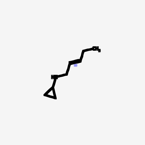 CC/C=C/CNC1CC1